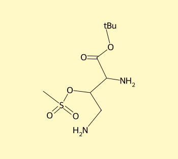 CC(C)(C)OC(=O)C(N)C(CN)OS(C)(=O)=O